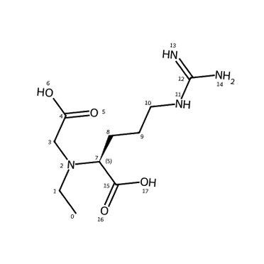 CCN(CC(=O)O)[C@@H](CCCNC(=N)N)C(=O)O